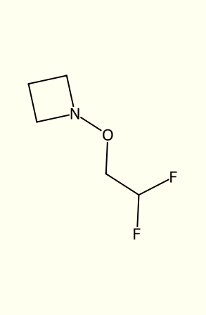 FC(F)CON1CCC1